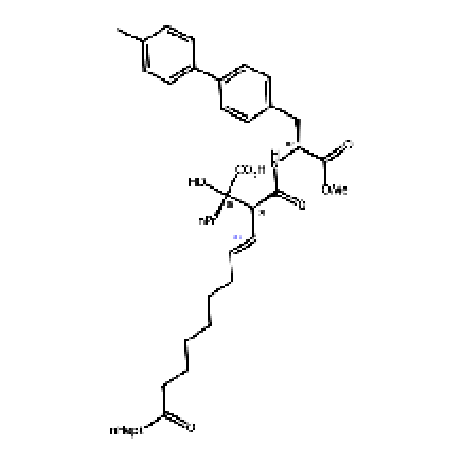 CCCCCCCC(=O)CCCCCC/C=C/[C@H](C(=O)N[C@@H](Cc1ccc(-c2ccc(C)cc2)cc1)C(=O)OC)[C@@](O)(CCC)C(=O)O